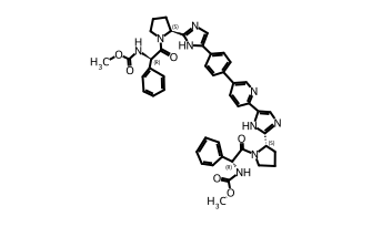 COC(=O)N[C@@H](C(=O)N1CCC[C@H]1c1ncc(-c2ccc(-c3ccc(-c4cnc([C@@H]5CCCN5C(=O)[C@H](NC(=O)OC)c5ccccc5)[nH]4)nc3)cc2)[nH]1)c1ccccc1